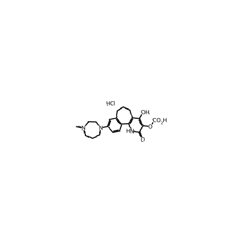 CN1CCCN(c2ccc3c(c2)CCCc2c-3[nH]c(=O)c(OC(=O)O)c2O)CC1.Cl